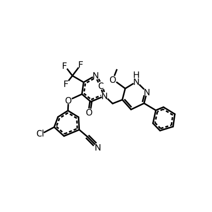 COC1NN=C(c2ccccc2)C=C1Cn1cnc(C(F)(F)F)c(Oc2cc(Cl)cc(C#N)c2)c1=O